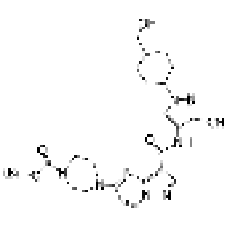 CC(C)(C)OC(=O)N1CCN(c2ccn3ncc(C(=O)Nc4cn(C5CCC(CO)CC5)nc4C#N)c3n2)CC1